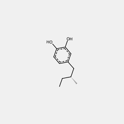 CC[C@@H](C)Cc1ccc(O)c(O)c1